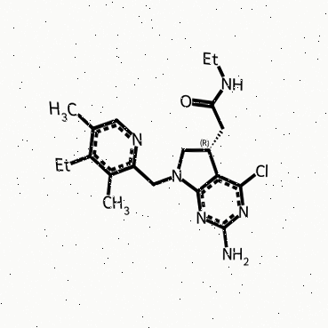 CCNC(=O)C[C@H]1CN(Cc2ncc(C)c(CC)c2C)c2nc(N)nc(Cl)c21